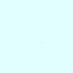 CC(C)N1CCC2C(C1)C1CCCCCCC[C@H]12